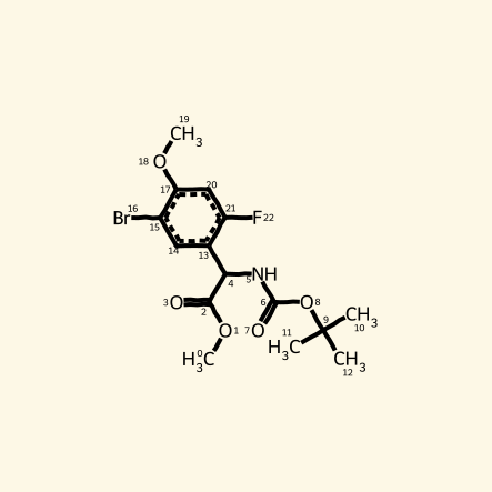 COC(=O)C(NC(=O)OC(C)(C)C)c1cc(Br)c(OC)cc1F